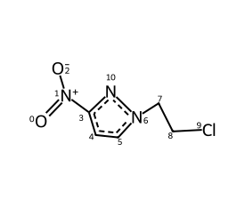 O=[N+]([O-])c1ccn(CCCl)n1